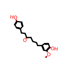 COc1cc(CCCCC(=O)CCc2ccc(O)cc2)ccc1O